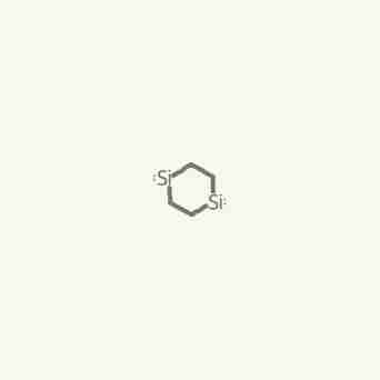 C1C[Si]CC[Si]1